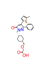 Cc1ccc(-c2cc(=O)n(C[C@H]3CC[C@H](COCC(=O)O)CC3)nc2-c2ccccc2)s1